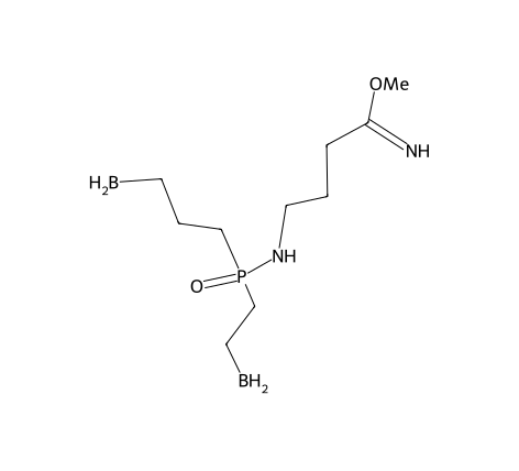 BCCCP(=O)(CCB)NCCCC(=N)OC